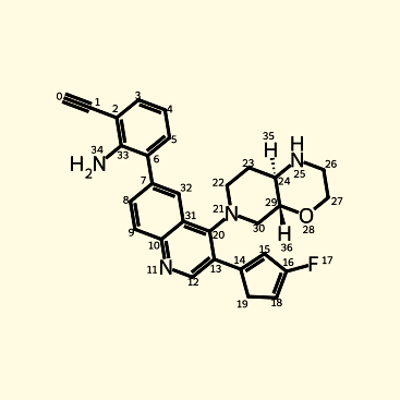 C#Cc1cccc(-c2ccc3ncc(C4=CC(F)=CC4)c(N4CC[C@H]5NCCO[C@@H]5C4)c3c2)c1N